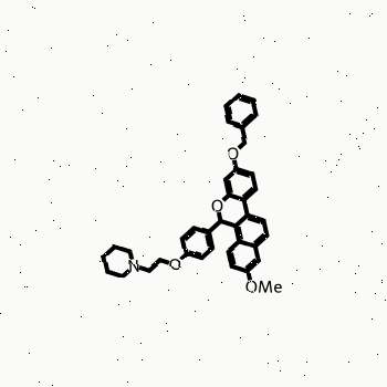 COc1ccc2c3c(ccc2c1)-c1ccc(OCc2ccccc2)cc1OC3c1ccc(OCCN2CCCCC2)cc1